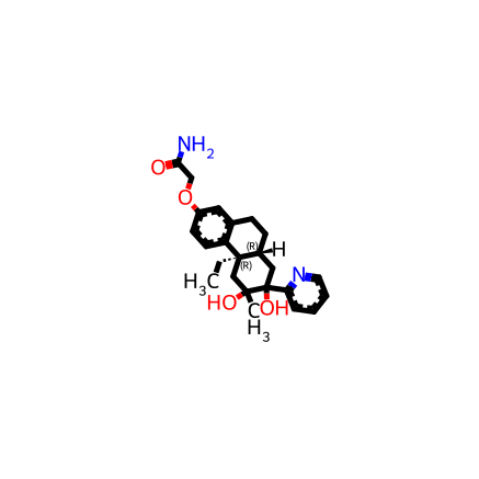 CC[C@@]12CC(C)(O)C(O)(c3ccccn3)C[C@H]1CCc1cc(OCC(N)=O)ccc12